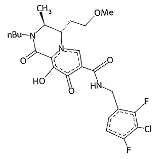 CCCCN1C(=O)c2c(O)c(=O)c(C(=O)NCc3ccc(F)c(Cl)c3F)cn2[C@@H](CCOC)[C@@H]1C